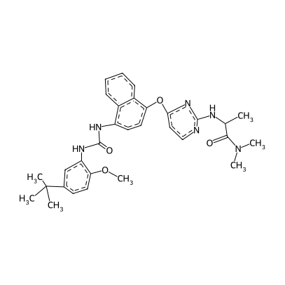 COc1ccc(C(C)(C)C)cc1NC(=O)Nc1ccc(Oc2ccnc(NC(C)C(=O)N(C)C)n2)c2ccccc12